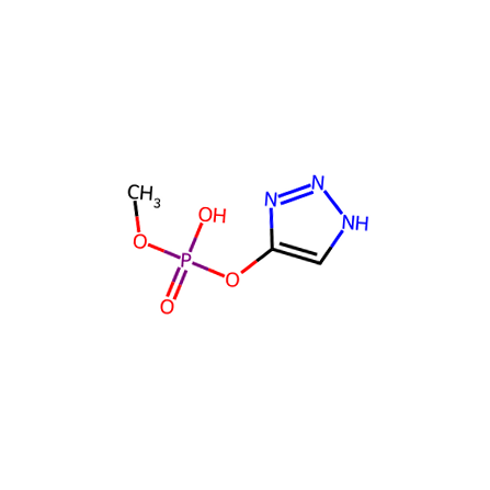 COP(=O)(O)Oc1c[nH]nn1